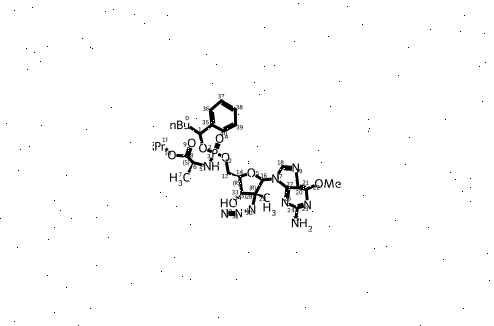 CCCCC(OP(=O)(N[C@@H](C)C(=O)OC(C)C)OC[C@H]1OC(n2cnc3c(OC)nc(N)nc32)[C@](C)(N=[N+]=[N-])[C@@H]1O)c1ccccc1